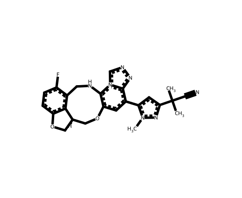 Cn1nc(C(C)(C)C#N)cc1-c1cc2c(n3cnnc13)NCc1c(F)ccc3c1[C@H](CO3)CO2